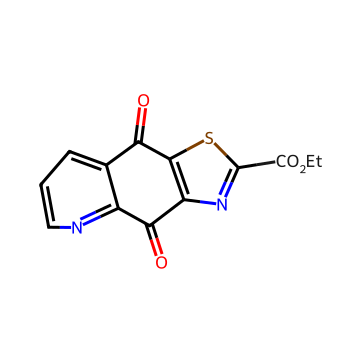 CCOC(=O)c1nc2c(s1)C(=O)c1cccnc1C2=O